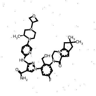 C[C@H]1CN(C2COC2)CCN1c1ccc(Nc2nn(-c3cc(F)cc(N4CCn5c(cc6c5CC(C)(C)C6)C4=O)c3CO)cc2C(N)=O)nc1